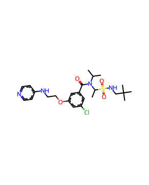 CC(C)N(C(=O)c1cc(Cl)cc(OCCNc2ccncc2)c1)C(C)S(=O)(=O)NCC(C)(C)C